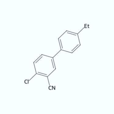 CCc1ccc(-c2ccc(Cl)c(C#N)c2)cc1